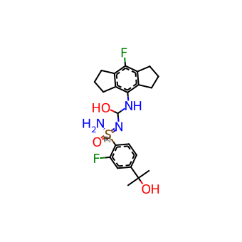 CC(C)(O)c1ccc([S@](N)(=O)=NC(O)Nc2c3c(c(F)c4c2CCC4)CCC3)c(F)c1